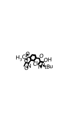 CC(C)(C)n1ncc(C(=O)c2ccc(S(C)(=O)=O)c(C3=NOCC3)c2Cl)c1O